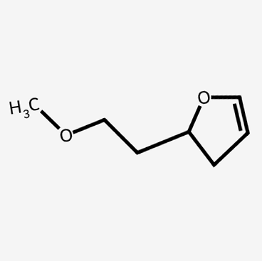 COCCC1CC=CO1